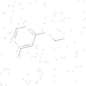 CCOC(=O)COc1cc(C(F)(F)F)ncn1